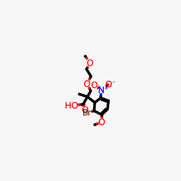 COCCOCC(C)(C(=O)O)C1C([N+](=O)[O-])=CC=C(OC)C1Br